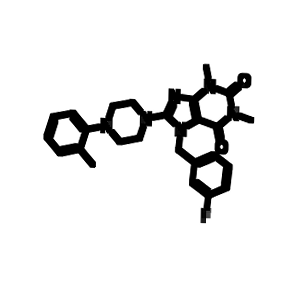 Cc1ccccc1N1CCN(c2nc3c(c(=O)n(C)c(=O)n3C)n2Cc2cccc(F)c2)CC1